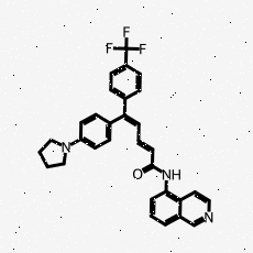 O=C(C=CC=C(c1ccc(N2CCCC2)cc1)c1ccc(C(F)(F)F)cc1)Nc1cccc2cnccc12